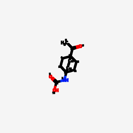 CC(=O)C12CCC(NC(=O)O)(CC1)CC2